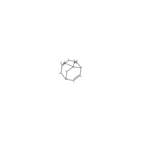 CC(C)C1(C(C)C)CC2C=CC1CCOC2